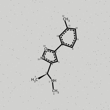 CN[C@@H](C)c1cc(-c2cccc(C)c2)on1